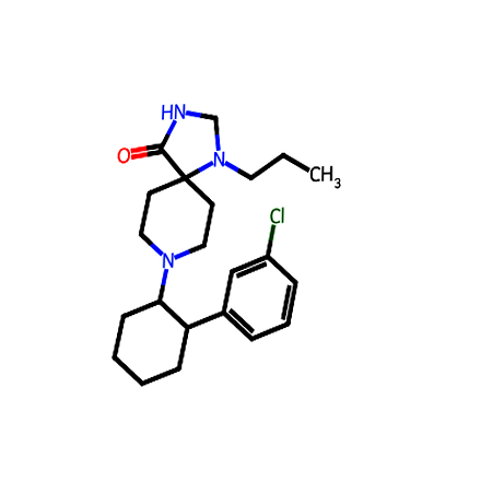 CCCN1CNC(=O)C12CCN(C1CCCCC1c1cccc(Cl)c1)CC2